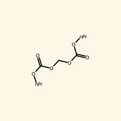 CCCOC(=O)OCOC(=O)OCCC